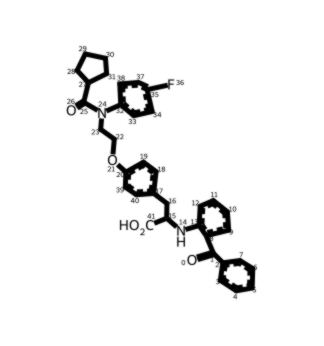 O=C(c1ccccc1)c1ccccc1NC(Cc1ccc(OCCN(C(=O)C2CCCC2)c2ccc(F)cc2)cc1)C(=O)O